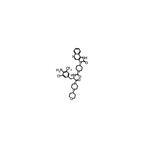 Nc1c(Cl)cc(C[C@@H](NC(=O)N2CCC(n3c(=O)[nH]c4c5ccccc5ncc43)CC2)C(=O)N2CCN(C3CCOCC3)CC2)cc1C(F)(F)F